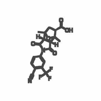 CC12C[C@@H](C(=O)O)C(C)(O1)[C@@H]1C(=O)N(c3ccc(C#N)c(C(F)(F)F)c3)C(=O)[C@@H]12